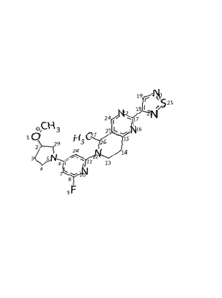 COC1CCN(c2cc(F)nc(N3CCc4nc(-c5cnsn5)ncc4C3C)c2)C1